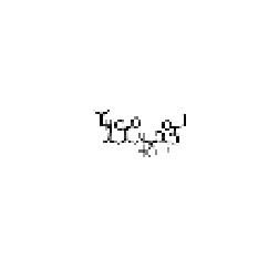 CCC(=O)O[C@H](C)OC(=O)NC[C@@H](C[C@@H](C)CCC(C)C)C(=O)O